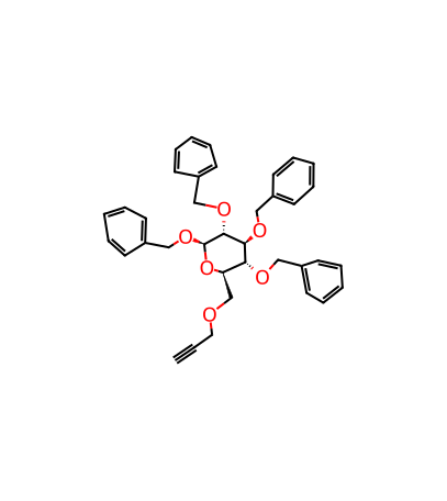 C#CCOC[C@H]1O[C@@H](OCc2ccccc2)[C@H](OCc2ccccc2)[C@@H](OCc2ccccc2)[C@@H]1OCc1ccccc1